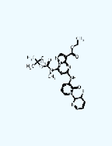 CCOC(=O)c1cnn2c(N(C)C(=O)OC(C)(C)C)cc(Nc3cccn(C4N=CC=CC4F)c3=O)nc12